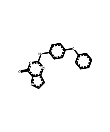 O=c1oc(Nc2ccc(Oc3ccccc3)cc2)nc2ccsc12